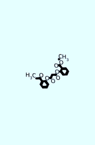 CCOC(=O)c1ccccc1OC(=O)CC(=O)Oc1ccccc1C(=O)CC